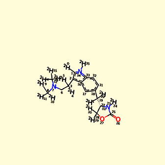 [2H]c1c(C([2H])([2H])CN(C([2H])([2H])[2H])C([2H])([2H])[2H])c2cc(C([2H])([2H])[C@@H]3N([2H])C(=O)OC3([2H])[2H])ccc2n1[2H]